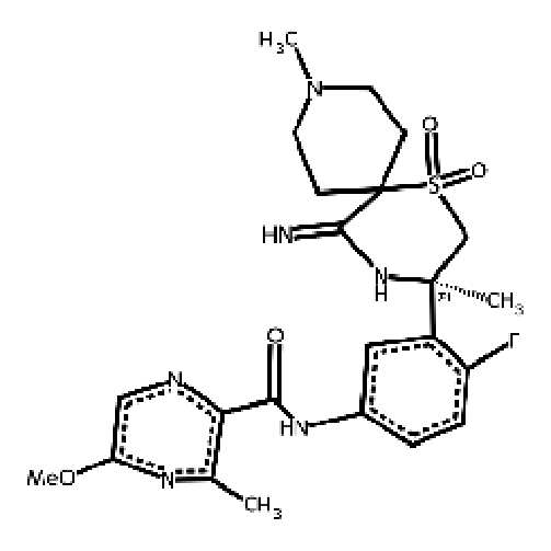 COc1cnc(C(=O)Nc2ccc(F)c([C@]3(C)CS(=O)(=O)C4(CCN(C)CC4)C(=N)N3)c2)c(C)n1